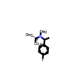 CC(c1ccc(I)cc1)N(C=O)[C@@H](C=O)C(=O)O